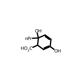 CCCC1(O)C=CC(O)=CC1C(=O)O